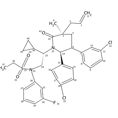 C=CC[C@@]1(C)CC(c2cccc(Cl)c2)[C@@H](c2ccc(Cl)cc2)N([C@H](CN(c2cccc(F)c2)S(=O)(=O)CC)C2CC2)C1=O